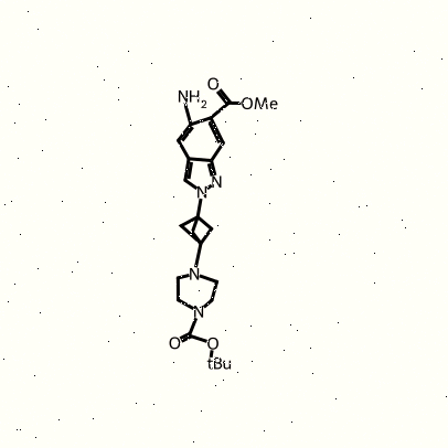 COC(=O)c1cc2nn(C34CC(N5CCN(C(=O)OC(C)(C)C)CC5)(C3)C4)cc2cc1N